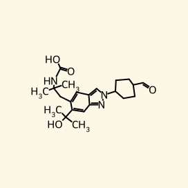 CC(C)(Cc1cc2cn(C3CCC(C=O)CC3)nc2cc1C(C)(C)O)NC(=O)O